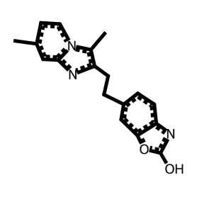 Cc1ccn2c(C)c(CCc3ccc4nc(O)oc4c3)nc2c1